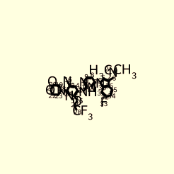 CN(C)Cc1cn(-c2ccnc(Nc3cc([N+](=O)[O-])c(N4CCOCC4)nc3OCC(F)(F)F)n2)c2cc(F)ccc12